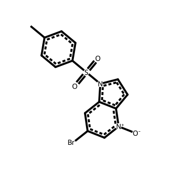 Cc1ccc(S(=O)(=O)n2ccc3c2cc(Br)c[n+]3[O-])cc1